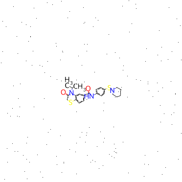 CC(C)N1C(=O)CSc2ccc(C(=O)Nc3ccc(SN4CCCCC4)cc3)cc21